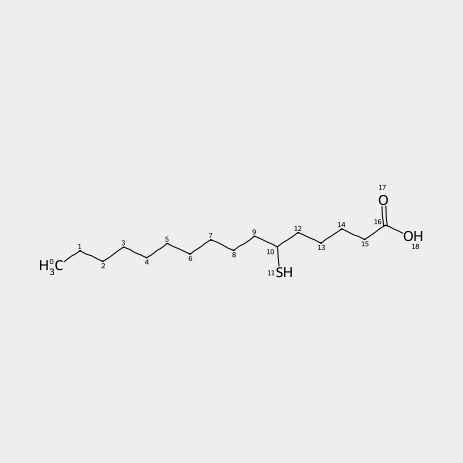 CCCCCCCCCCC(S)CCCCC(=O)O